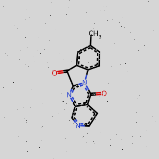 Cc1ccc2c(c1)C(=O)c1nc3cnccc3c(=O)n1-2